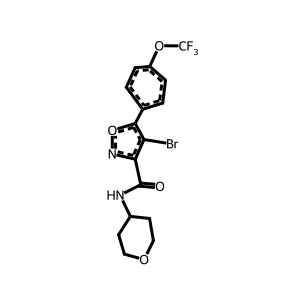 O=C(NC1CCOCC1)c1noc(-c2ccc(OC(F)(F)F)cc2)c1Br